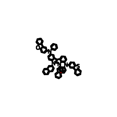 c1ccc(N(c2ccc3oc4ccccc4c3c2)c2ccc3c(c2)c2c4cccc(N(c5ccccc5)c5ccc6sc7ccccc7c6c5)c4n(-c4ccc5ccccc5c4)c2n3-c2ccc3ccccc3c2)cc1